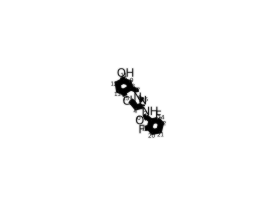 O=C(Nc1ccn(Cc2cc(O)ccc2Cl)n1)c1c(F)cccc1F